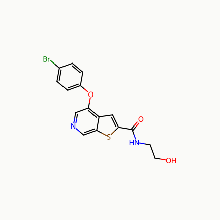 O=C(NCCO)c1cc2c(Oc3ccc(Br)cc3)cncc2s1